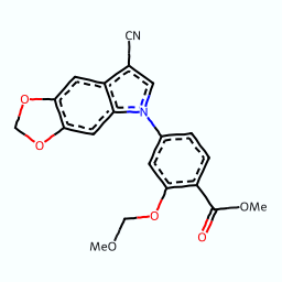 COCOc1cc(-n2cc(C#N)c3cc4c(cc32)OCO4)ccc1C(=O)OC